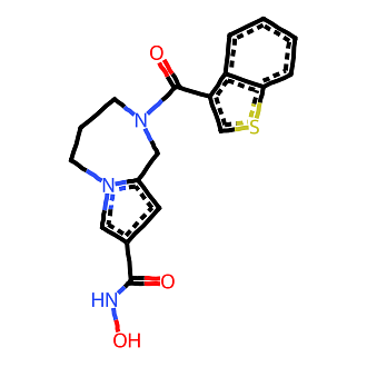 O=C(NO)c1cc2n(c1)CCCN(C(=O)c1csc3ccccc13)C2